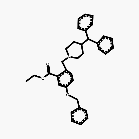 CCOC(=O)c1cc(OCc2ccccc2)ccc1CN1CCC(C(c2ccccc2)c2ccccc2)CC1